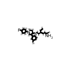 C=C/C(=C\C=C(\C)N)CCn1c2c(c3cc(C)ccc31)CN(c1ccc(F)cc1)CC2